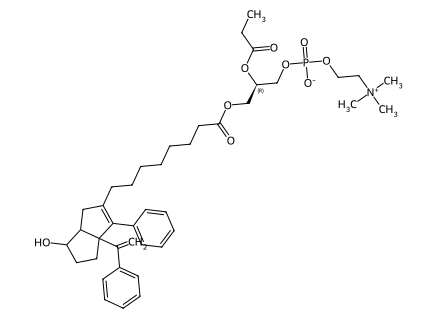 C=C(c1ccccc1)C12CCC(O)C1CC(CCCCCCCC(=O)OC[C@H](COP(=O)([O-])OCC[N+](C)(C)C)OC(=O)CC)=C2c1ccccc1